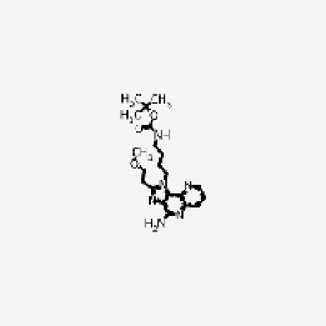 COCCc1nc2c(N)nc3cccnc3c2n1CCCCNC(=O)OC(C)(C)C